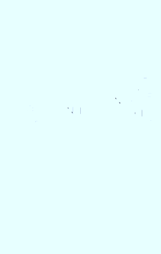 C=C(N1CCC(CNCCC(=O)c2ccc3ccccc3c2)CC1)C(F)(F)F